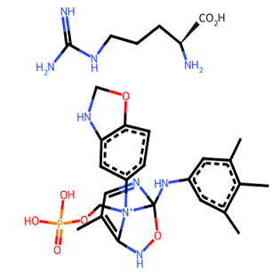 CC1=C2NOC(Nc3cc(C)c(C)c(C)c3)(N=C1)[N+]2(COP(=O)(O)O)c1ccc2c(c1)NCO2.N=C(N)NCCC[C@H](N)C(=O)O